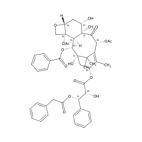 CC(=O)O[C@H]1C(=O)[C@]2(C)[C@@H](O)C[C@H]3OC[C@]3(OC(C)=O)[C@@H]2[C@@H](OC(=O)c2ccccc2)[C@]2(O)C[C@@H](OC(=O)[C@H](O)[C@@H](OC(=O)Cc3ccccc3)c3ccccc3)C(C)=C1C2(C)C